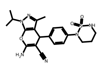 Cc1nn(C(C)C)c2c1C(c1ccc(N3CCCNS3(=O)=O)cc1)C(C#N)=C(N)O2